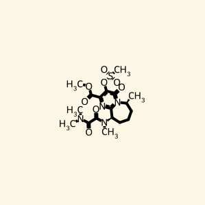 COC(=O)c1nc2n(c(=O)c1OS(C)(=O)=O)[C@@H](C)CCC[C@H]2N(C)C(=O)C(=O)N(C)C